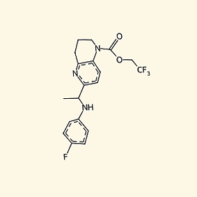 CC(Nc1ccc(F)cc1)c1ccc2c(n1)CCCN2C(=O)OCC(F)(F)F